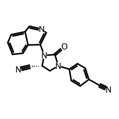 N#Cc1ccc(N2C[C@H](C#N)N(c3cncc4ccccc34)C2=O)cc1